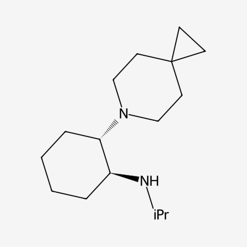 CC(C)N[C@H]1CCCC[C@@H]1N1CCC2(CC1)CC2